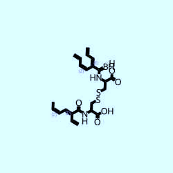 B=C(NC(CSSCC(NC(=O)/C(C=C)=C/C=C\C)C(=O)O)C(=O)O)C(/C=C\C=C)=C/C=C